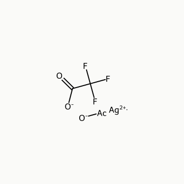 CC(=O)[O-].O=C([O-])C(F)(F)F.[Ag+2]